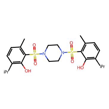 Cc1ccc(C(C)C)c(O)c1S(=O)(=O)N1CCN(S(=O)(=O)c2c(C)ccc(C(C)C)c2O)CC1